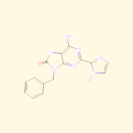 Cn1ccnc1-c1nc(N)c2[nH]c(=O)n(Cc3ccccc3)c2n1